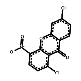 O=c1c2ccc(O)cc2oc2c([N+](=O)[O-])ccc(Cl)c12